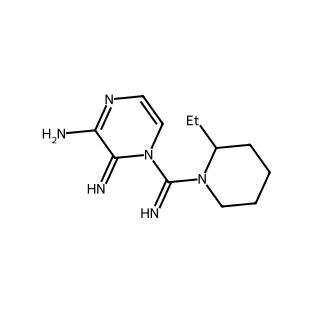 CCC1CCCCN1C(=N)n1ccnc(N)c1=N